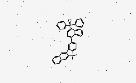 CC1(C)c2ccc(-c3ccc(P(=O)(c4ccccc4)c4ccccc4)c4ccccc34)cc2-c2cc3ccccc3cc21